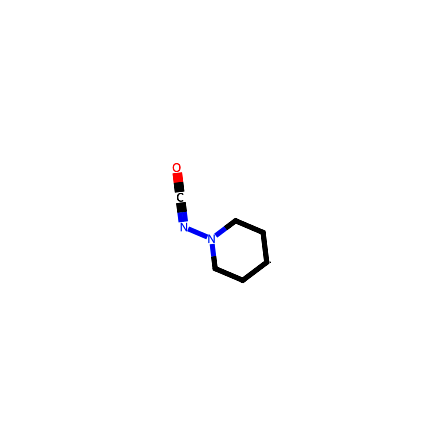 O=C=NN1CC[CH]CC1